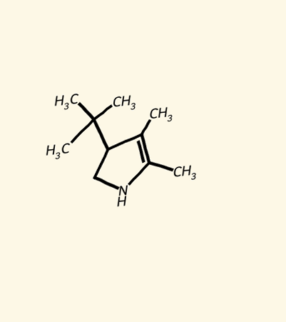 CC1=C(C)C(C(C)(C)C)CN1